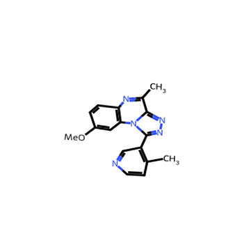 COc1ccc2nc(C)c3nnc(-c4cnccc4C)n3c2c1